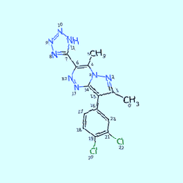 Cc1nn2c(C)c(-c3nnn[nH]3)nnc2c1-c1ccc(Cl)c(Cl)c1